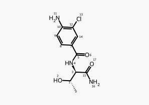 C[C@H](O)[C@@H](NC(=O)c1ccc(N)c(Cl)c1)C(N)=O